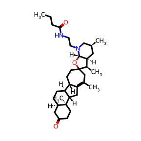 CCCC(=O)NCCN1C[C@@H](C)C[C@H]2[C@@H](C)C3(CC[C@@H]4C(=C(C)C3)C[C@H]3[C@H]4CC[C@@H]4CC(=O)CC[C@@]43C)O[C@@H]21